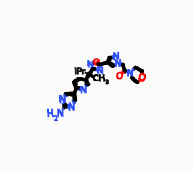 CC(C)[C@](C)(c1ccc(-c2cnc(N)nc2)nc1)c1noc(-c2cnn(CC(=O)N3CCOCC3)c2)n1